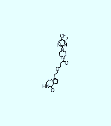 O=C1NCCn2c(CCOCCC(=O)N3CCN(c4ncc(C(F)(F)F)cn4)CC3)ccc21